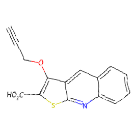 C#CCOc1c(C(=O)O)sc2nc3ccccc3cc12